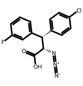 [N-]=[N+]=N[C@H](C(=O)O)[C@@H](c1ccc(Cl)cc1)c1cccc(F)c1